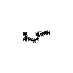 CN(C)CC(=O)N1CCN(c2ccc(-c3nc(-c4cnn(CCC(=O)N5CCN(c6ccc(-c7nc(-c8cnn(C)c8)cn8ncc(Cl)c78)cn6)CC5)c4)cn4ncc(Cl)c34)cn2)CC1